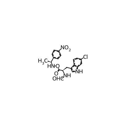 C[C@H](NOC(=O)[C@@H](Cc1c[nH]c2cc(Cl)ccc12)NC=O)c1ccc([N+](=O)[O-])cc1